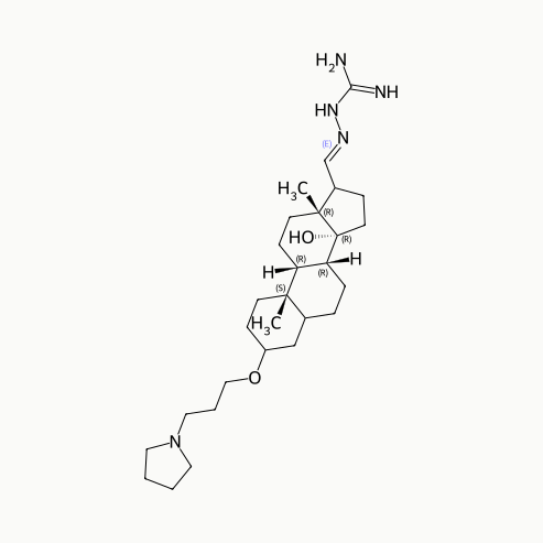 C[C@]12CCC(OCCCN3CCCC3)CC1CC[C@@H]1[C@H]2CC[C@]2(C)C(/C=N/NC(=N)N)CC[C@@]12O